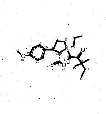 CCC[N+]1(C(=O)C(=O)C(C)(C)CC)CCC(c2ccc(OC)cc2)[C@H]1C([O-])=S